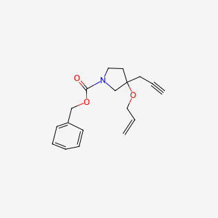 C#CCC1(OCC=C)CCN(C(=O)OCc2ccccc2)C1